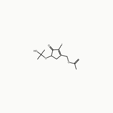 C=C(C)OCC1=C(I)C(=O)C(OC(C)(C)O)C1